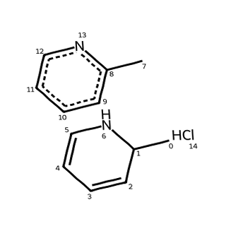 CC1C=CC=CN1.Cc1ccccn1.Cl